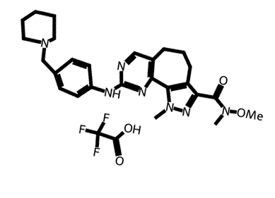 CON(C)C(=O)c1nn(C)c2c1CCCc1cnc(Nc3ccc(CN4CCCCC4)cc3)nc1-2.O=C(O)C(F)(F)F